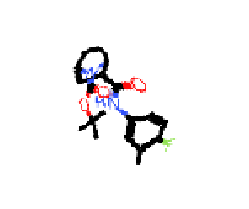 Cc1cc(NC(=O)C2CC3CCC2N3C(=O)OC(C)(C)C)ccc1F